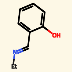 CCN=Cc1ccccc1O